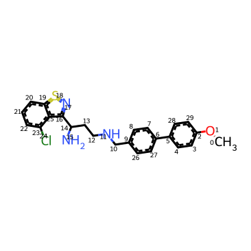 COc1ccc(-c2ccc(CNCCC(N)c3nsc4cccc(Cl)c34)cc2)cc1